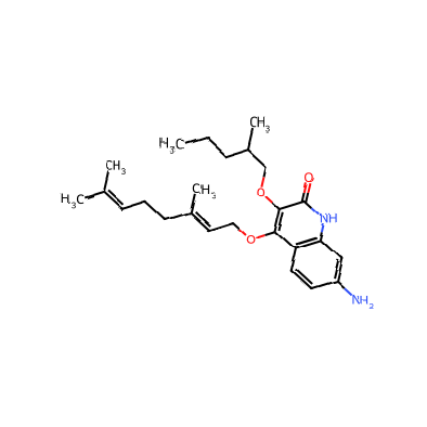 CCCC(C)COc1c(OC/C=C(\C)CCC=C(C)C)c2ccc(N)cc2[nH]c1=O